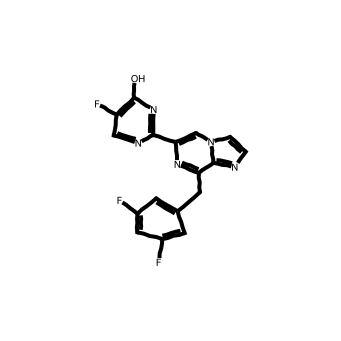 Oc1nc(-c2cn3ccnc3c(Cc3cc(F)cc(F)c3)n2)ncc1F